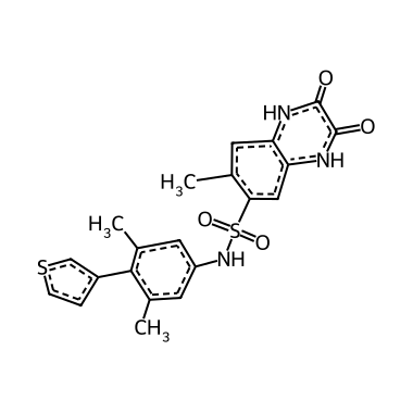 Cc1cc2[nH]c(=O)c(=O)[nH]c2cc1S(=O)(=O)Nc1cc(C)c(-c2ccsc2)c(C)c1